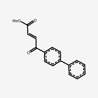 COC(=O)/C=C/C(=O)c1ccc(-c2ccccc2)cc1